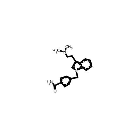 CN(C)CCc1cn(Cc2ccc(C(N)=O)cc2)c2ccccc12